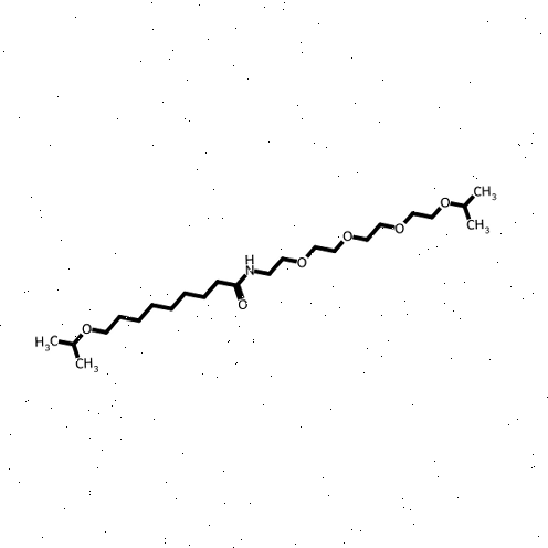 CC(C)OCCCCCCCCC(=O)NCCOCCOCCOCCOC(C)C